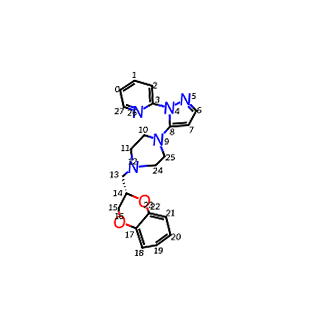 c1ccc(-n2nccc2N2CCN(C[C@H]3COc4ccccc4O3)CC2)nc1